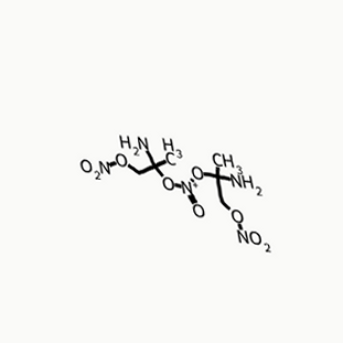 CC(N)(CO[N+](=O)[O-])O[N+](=O)OC(C)(N)CO[N+](=O)[O-]